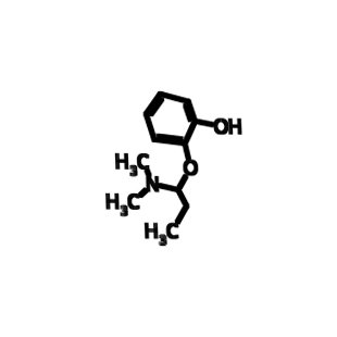 CCC(Oc1ccccc1O)N(C)C